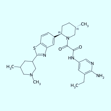 CCc1cc(NC(=O)C(=O)N2C[C@@H](C)CC[C@@H]2c2ccc3sc(C4CC(C)CN(C)C4)nc3c2)cnc1N